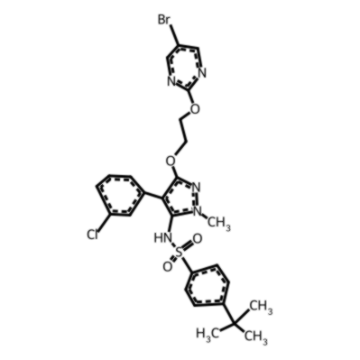 Cn1nc(OCCOc2ncc(Br)cn2)c(-c2cccc(Cl)c2)c1NS(=O)(=O)c1ccc(C(C)(C)C)cc1